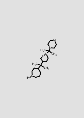 CC(C)N1CCCC(C(C)(C)C2CCN(C(C)(C)N3CCNCC3)CC2)CC1